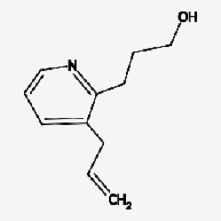 C=CCc1cccnc1CCCO